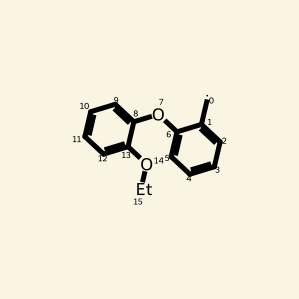 [CH2]c1ccccc1Oc1ccccc1OCC